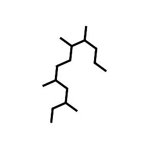 CCCC(C)C(C)C[CH]C(C)CC(C)CC